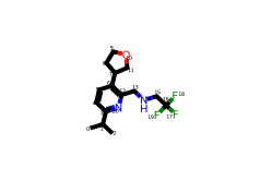 CC(C)c1ccc(C2CCOC2)c(CNCC(F)(F)F)n1